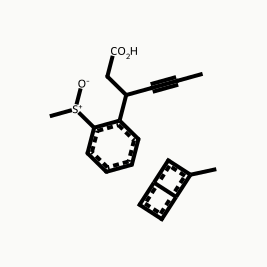 CC#CC(CC(=O)O)c1ccccc1[S+](C)[O-].Cc1cc2ccc1-2